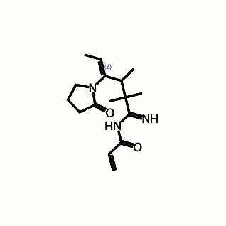 C=CC(=O)NC(=N)C(C)(C)C(C)/C(=C/C)N1CCCC1=O